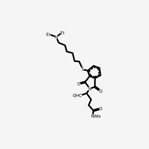 CCN(CC)CCCCCCSc1cccc2c1C(=O)N(C(C=O)CCC(=O)NC)C2=O